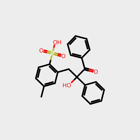 Cc1ccc(S(=O)(=O)O)c(CC(O)(C(=O)c2ccccc2)c2ccccc2)c1